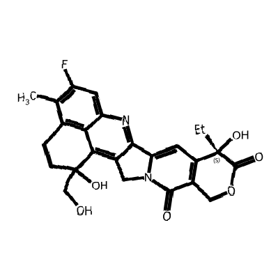 CC[C@@]1(O)C(=O)OCc2c1cc1n(c2=O)Cc2c-1nc1cc(F)c(C)c3c1c2C(O)(CO)CC3